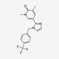 Cc1cc(-c2nccn2Cc2ccc(C(F)(F)F)cc2)cn(C)c1=O